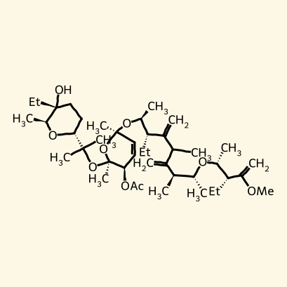 C=C(C(C)C(=C)[C@H](CC)[C@H](C)O[C@@]1(C)C=C[C@@H](OC(C)=O)[C@@](C)(OC(C)(C)[C@H]2CC[C@](O)(CC)[C@H](C)O2)O1)[C@H](C)[C@@H](C)O[C@H](C)[C@@H](CC)C(=C)OC